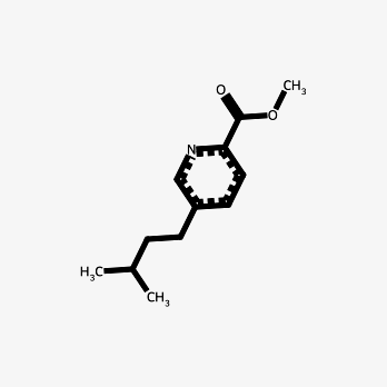 COC(=O)c1ccc(CCC(C)C)cn1